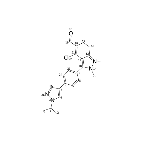 CC(C)n1cc(-c2ccc(-c3c4c(nn3C)CCC(C=O)=C4Cl)cc2)cn1